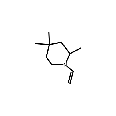 C=CN1CCC(C)(C)CC1C